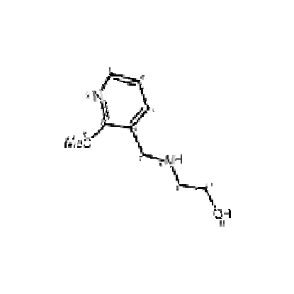 COc1ncccc1CNCCO